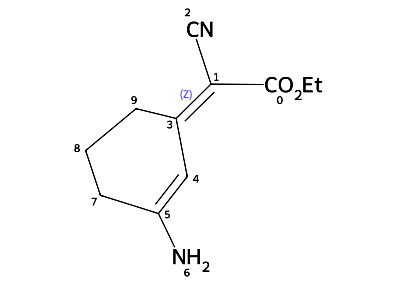 CCOC(=O)/C(C#N)=C1\C=C(N)CCC1